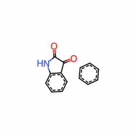 O=C1Nc2ccccc2C1=O.c1ccccc1